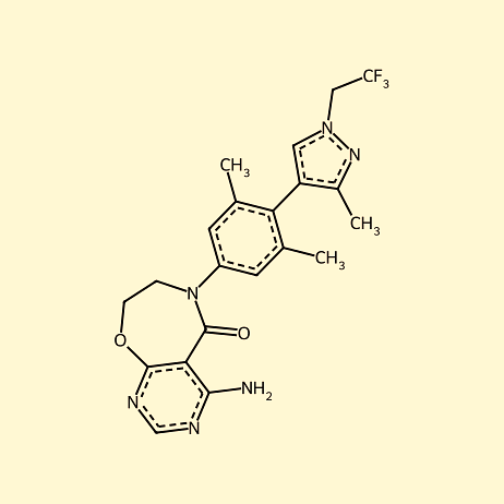 Cc1cc(N2CCOc3ncnc(N)c3C2=O)cc(C)c1-c1cn(CC(F)(F)F)nc1C